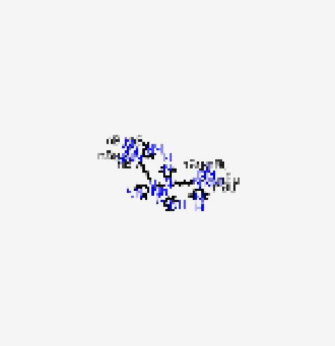 CCCCN(CCCC)c1nc(N(CCCC)CCCC)nc(N(CCCCCCN(c2cc(N(CCCCCCN(c3nc(N(CCCC)CCCC)nc(N(CCCC)CCCC)n3)C3CC(C)(C)NC(C)(C)C3)C3CC(C)(C)NC(C)(C)C3)nc(N(C)C3CC(C)(C)NC(C)(C)C3)n2)C2CC(C)(C)NC(C)(C)C2)C2CC(C)(C)NC(C)(C)C2)n1